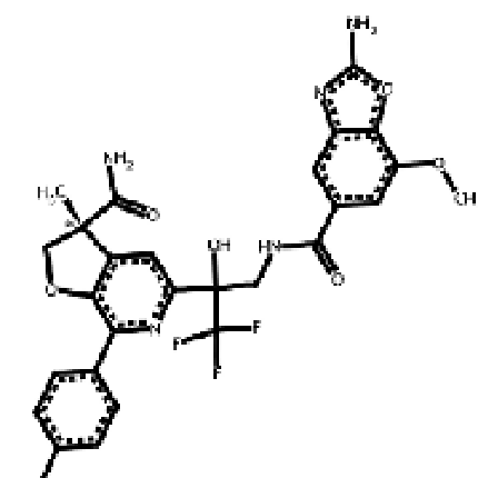 COc1cc(C(=O)NCC(O)(c2cc3c(c(-c4ccc(F)cc4)n2)OC[C@]3(C)C(N)=O)C(F)(F)F)cc2nc(N)oc12